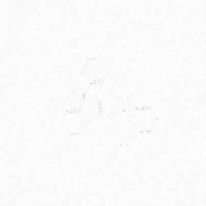 CC(=O)OC[P+](c1ccccc1)(c1ccccc1)c1ccccc1.O=C([O-])c1ccccc1